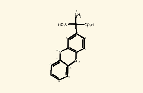 CC(C(=O)O)(C(=O)O)c1ccc2c(c1)Sc1ccccc1S2